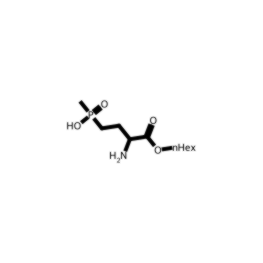 CCCCCCOC(=O)C(N)CCP(C)(=O)O